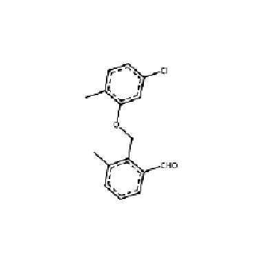 Cc1ccc(Cl)cc1OCc1c(C)cccc1C=O